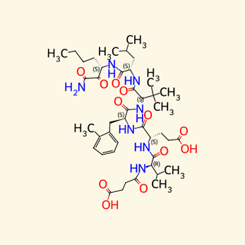 CCCC[C@H](NC(=O)[C@H](CC(C)C)NC(=O)[C@@H](NC(=O)[C@H](Cc1ccccc1C)NC(=O)[C@H](CCC(=O)O)NC(=O)[C@H](NC(=O)CCC(=O)O)C(C)C)C(C)(C)C)C(=O)C(N)=O